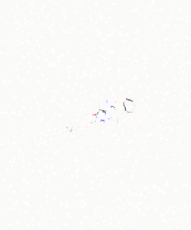 C/C(=N\c1c(C)c(=O)n(CCOCCN=O)c(=O)n1C)OC1=CC(OC(F)(F)F)CC=C1